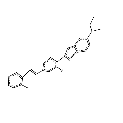 CCC(C)c1ccc2oc(-c3ccc(C=Cc4ccccc4Cl)cc3F)cc2c1